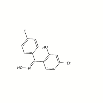 CCc1ccc(C(=NO)c2ccc(F)cc2)c(O)c1